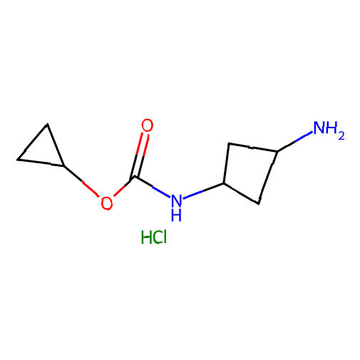 Cl.NC1CC(NC(=O)OC2CC2)C1